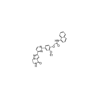 CCOc1cc(-c2nccc(-c3cc4n(n3)CCNC4=O)n2)ccc1OCC(=O)Nc1cccc2ccccc12